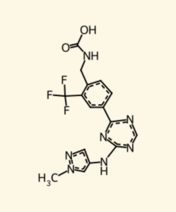 Cn1cc(Nc2ncnc(-c3ccc(CNC(=O)O)c(C(F)(F)F)c3)n2)cn1